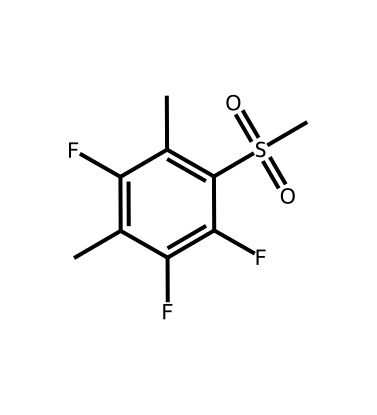 Cc1c(F)c(C)c(S(C)(=O)=O)c(F)c1F